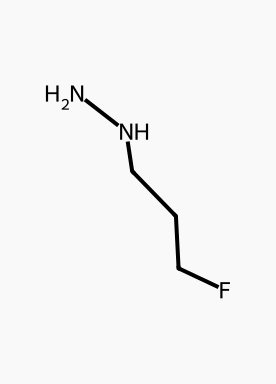 NNCCCF